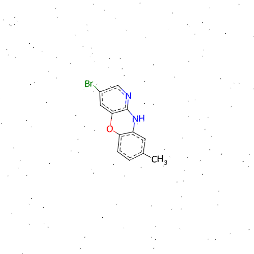 Cc1ccc2c(c1)Nc1ncc(Br)cc1O2